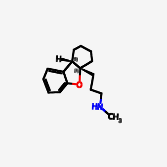 CNCCC[C@]12CCCC[C@H]1c1ccccc1O2